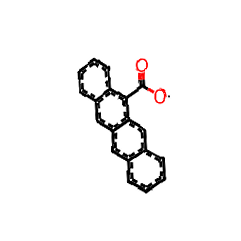 [O]C(=O)c1c2ccccc2cc2cc3ccccc3cc12